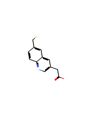 O=C(O)Cc1cnc2ccc(CF)cc2c1